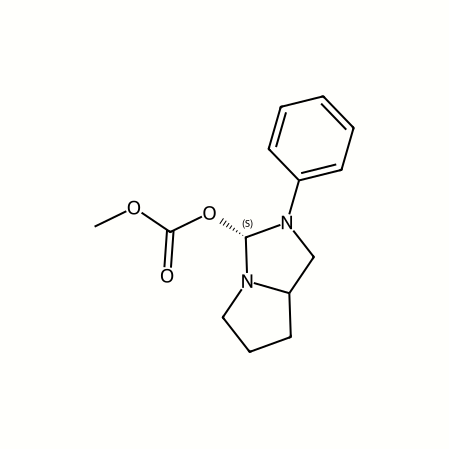 COC(=O)O[C@@H]1N(c2ccccc2)CC2CCCN21